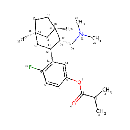 CC(C)C(=O)Oc1ccc(F)c([C@@H]2C[C@H]3CC[C@H](C3)[C@@H]2CN(C)C)c1